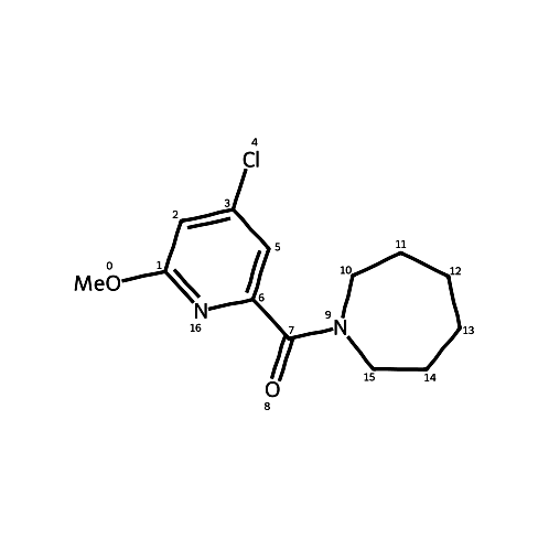 COc1cc(Cl)cc(C(=O)N2CCCCCC2)n1